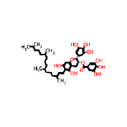 C/C(=C\Cc1c(O)cc2c(c1O)C[C@@H](OC(=O)c1cc(O)c(O)c(O)c1)[C@@H](c1cc(O)c(O)c(O)c1)O2)CCCC(C)CCCC(C)CCCC(C)C